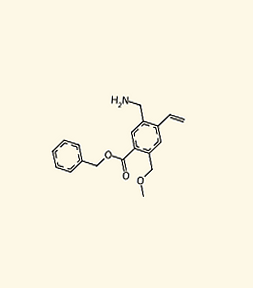 C=Cc1cc(COC)c(C(=O)OCc2ccccc2)cc1CN